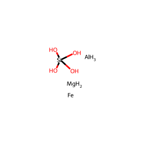 O[Si](O)(O)O.[AlH3].[Fe].[MgH2]